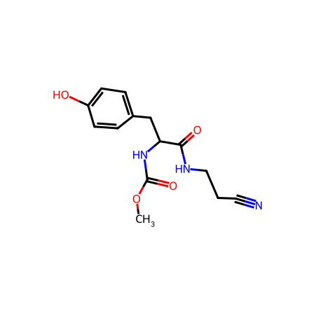 COC(=O)NC(Cc1ccc(O)cc1)C(=O)NCCC#N